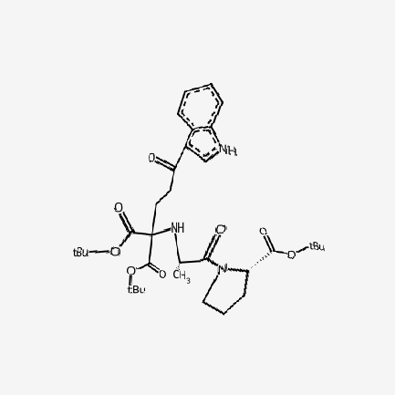 C[C@H](NC(CCC(=O)c1c[nH]c2ccccc12)(C(=O)OC(C)(C)C)C(=O)OC(C)(C)C)C(=O)N1CCC[C@H]1C(=O)OC(C)(C)C